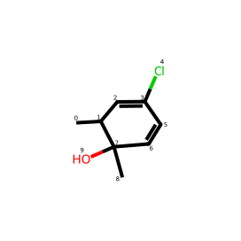 CC1C=C(Cl)C=CC1(C)O